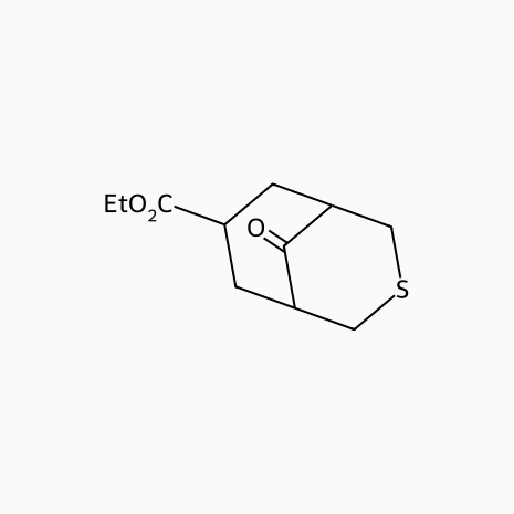 CCOC(=O)C1CC2CSCC(C1)C2=O